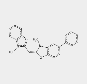 CN1C(=Cc2sc3ccccc3[n+]2C)Oc2ccc(-c3ccccc3)cc21